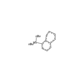 CCCC[SH](CCCC)c1cccc2ccccc12